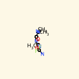 Cc1c(CN(C=O)Cc2ccc(-c3cnn(C(C)C)c3)cc2)ccnc1Oc1c(F)cc(C#N)cc1F